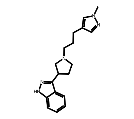 Cn1cc(CCCN2CCC(c3n[nH]c4ccccc34)C2)cn1